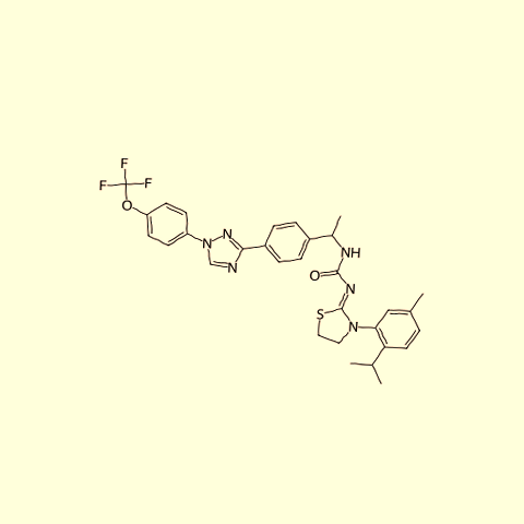 Cc1ccc(C(C)C)c(N2CCS/C2=N\C(=O)NC(C)c2ccc(-c3ncn(-c4ccc(OC(F)(F)F)cc4)n3)cc2)c1